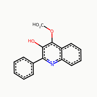 O=C(O)Oc1c(O)c(-c2ccccc2)nc2ccccc12